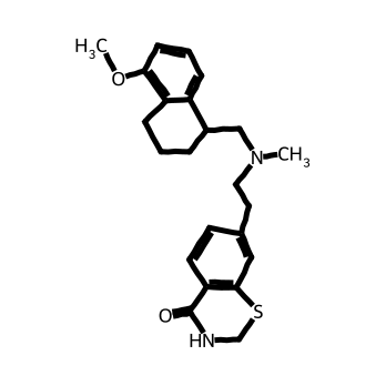 COc1cccc2c1CCCC2CN(C)CCc1ccc2c(c1)SCNC2=O